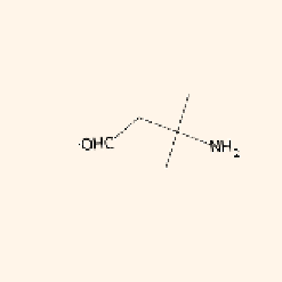 CC(C)(N)C[C]=O